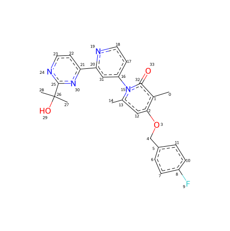 Cc1c(OCc2ccc(F)cc2)cc(C)n(-c2ccnc(-c3ccnc(C(C)(C)O)n3)c2)c1=O